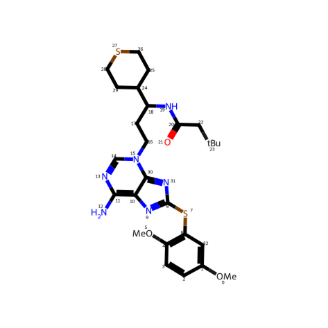 COc1ccc(OC)c(Sc2nc3c(N)ncn(CCC(NC(=O)CC(C)(C)C)C4CCSCC4)c-3n2)c1